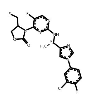 C[C@H](Nc1ncc(F)c(N2C(=O)OCC2CF)n1)c1cn(-c2ccc(F)c(Cl)c2)cn1